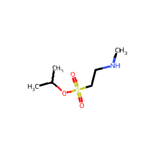 CNCCS(=O)(=O)OC(C)C